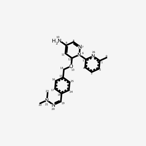 Cc1cccc(N2N=CC(N)=CC2OCc2ccc(/C=N\N(C)C)cc2)n1